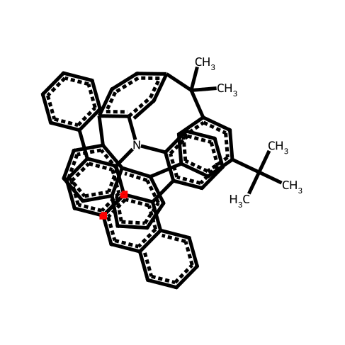 CC(C)(C)c1cc2cc(c1)C(C)(C)c1ccc(c(N(c3ccccc3-c3ccccc3)c3ccccc3-c3cccc4ccccc34)c1)-c1cccc3cccc-2c13